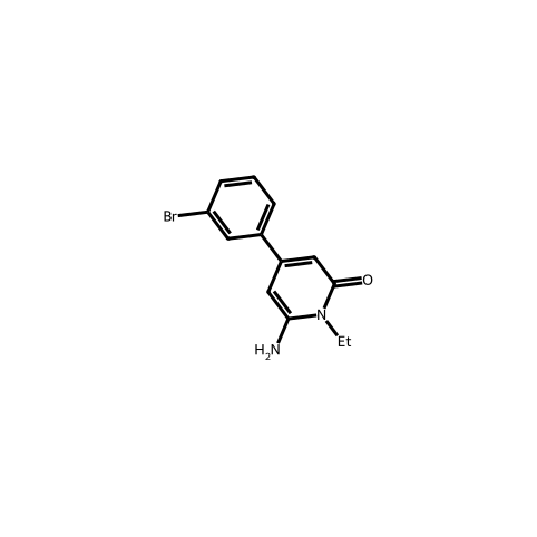 CCn1c(N)cc(-c2cccc(Br)c2)cc1=O